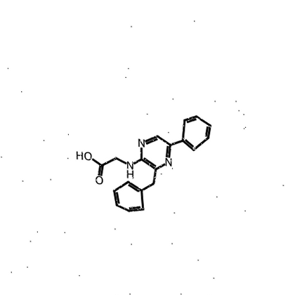 O=C(O)CNc1ncc(-c2ccccc2)nc1Cc1ccccc1